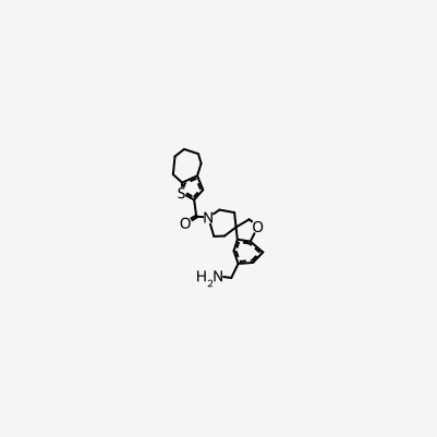 NCc1ccc2c(c1)C1(CCN(C(=O)c3cc4c(s3)CCCCC4)CC1)CO2